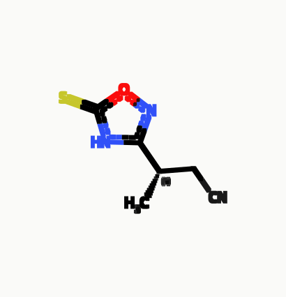 C[C@@H](CC#N)c1noc(=S)[nH]1